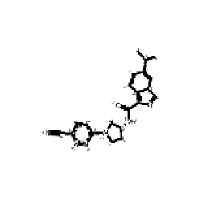 CC(C)C1=CC2C=NC(C(=O)N[C@@H]3CCN(c4ccc(C#N)nn4)C3)=C2C=C1